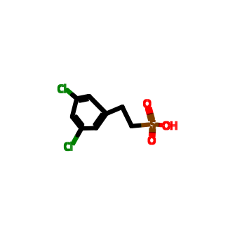 O=S(=O)(O)CCc1cc(Cl)cc(Cl)c1